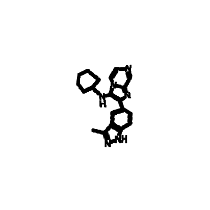 Cc1n[nH]c2ccc(-c3nc4cnccn4c3NC3CCCCC3)cc12